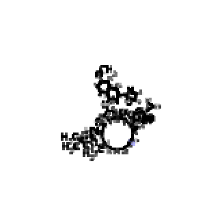 COc1ccc2c(OC3C[C@H]4C(=O)N[C@]5(C(=O)NS(=O)(=O)C6CC6)CC5/C=C\CCCN(C)C[C@H](NC(=O)OC(C)(C)C)C(=O)N4C3)nc(-c3ncco3)cc2c1